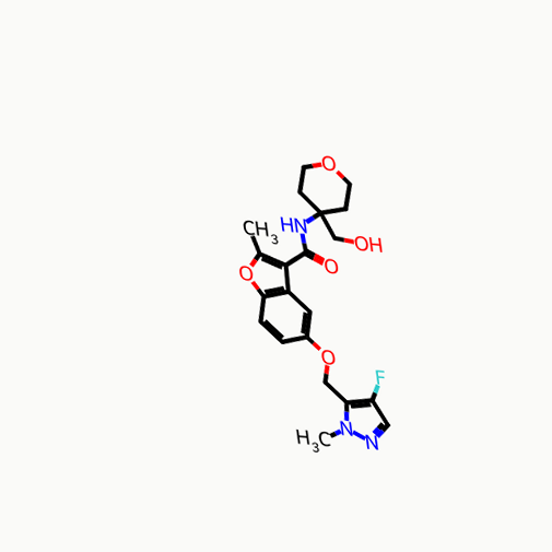 Cc1oc2ccc(OCc3c(F)cnn3C)cc2c1C(=O)NC1(CO)CCOCC1